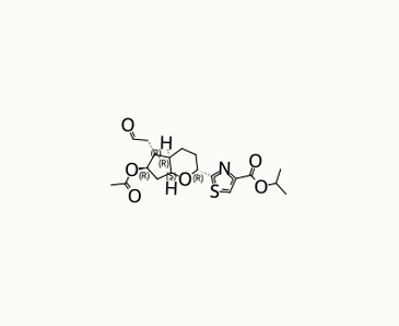 CC(=O)O[C@@H]1C[C@@H]2O[C@@H](c3nc(C(=O)OC(C)C)cs3)CC[C@@H]2[C@H]1CC=O